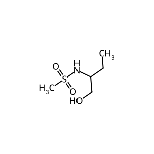 CCC(CO)NS(C)(=O)=O